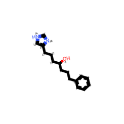 OC(CCCc1ccccc1)CCCc1c[nH]cn1